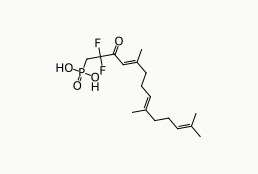 CC(C)=CCCC(C)=CCCC(C)=CC(=O)C(F)(F)CP(=O)(O)O